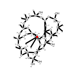 C[Si]1(C)O[SiH](O)O[Si]23O[Si](C)(O)O[Si](C)(C)O[Si]4(C)O[Si]5(C)OO[Si]6(O[Si](C)(C)O[Si]7(O[Si](C)(O[Si](C)(O1)O[Si](O)(O2)O[Si]1(O[Si](O)(O)O[Si]2(O[Si](C)(O5)O2)O1)O7)O3)O6)O4